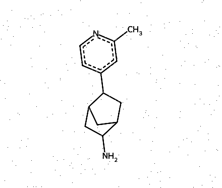 Cc1cc(C2CC3CC2CC3N)ccn1